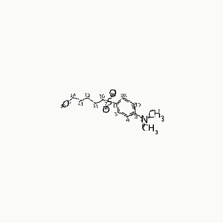 CN(C)c1ccc(S(=O)(=O)CCCCC[O])cc1